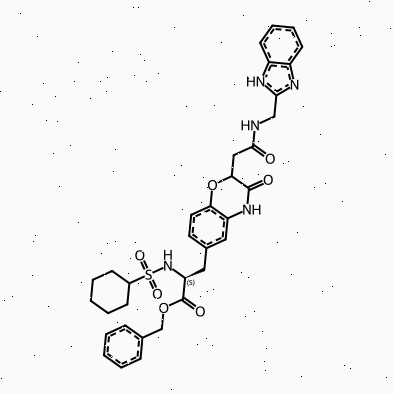 O=C(CC1Oc2ccc(C[C@H](NS(=O)(=O)C3CCCCC3)C(=O)OCc3ccccc3)cc2NC1=O)NCc1nc2ccccc2[nH]1